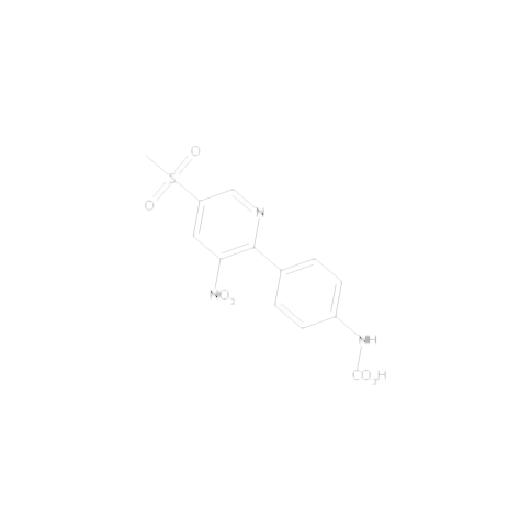 CS(=O)(=O)c1cnc(-c2ccc(NC(=O)O)cc2)c([N+](=O)[O-])c1